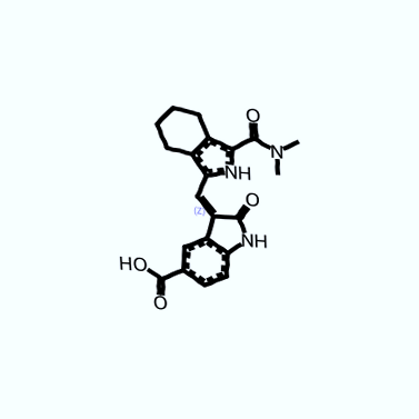 CN(C)C(=O)c1[nH]c(/C=C2\C(=O)Nc3ccc(C(=O)O)cc32)c2c1CCCC2